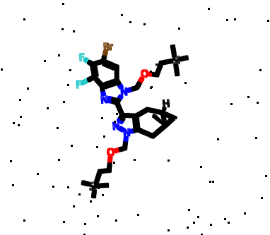 C[C@@]12Cc3c(c(-c4nc5c(F)c(F)c(Br)cc5n4COCC[Si](C)(C)C)nn3COCC[Si](C)(C)C)C[C@@H]1C2